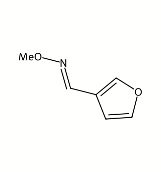 CON=Cc1ccoc1